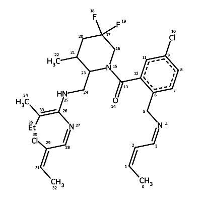 C/C=C\C=N/Cc1ccc(Cl)cc1C(=O)N1CC(F)(F)CC(C)C1CNC(/N=C\C(Cl)=C/C)=C(\C)CC